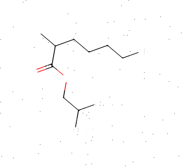 CCCCCCCCCCCCCCC(C)C(=O)OCC(CCCCCCC)CCCCCCCCC